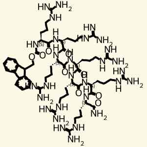 N=C(N)NCCC[C@H](NC(=O)[C@H](CCCNC(=N)N)NC(=O)[C@H](CCCNC(=N)N)NC(=O)[C@H](CCCNC(=N)N)NC(=O)[C@H](CCCNC(=N)N)NC(=O)[C@H](CCCNC(=N)N)NC(=O)[C@H](CCCNC(=N)N)NC(=O)OCC1c2ccccc2-c2ccccc21)C(N)=O